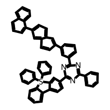 c1ccc(-c2nc(-c3cccc(-c4ccc5cc(-c6cccc7ccccc67)ccc5c4)c3)nc(-c3ccc4c(c3)S(c3ccccc3)(c3ccccc3)c3ccccc3-4)n2)cc1